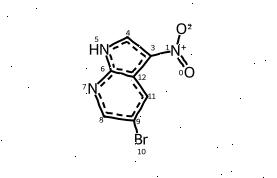 O=[N+]([O-])c1c[nH]c2ncc(Br)cc12